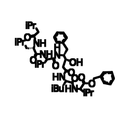 CC[C@H](C)[C@H](NC(=O)C[C@H](O)[C@H](Cc1ccccc1)NC(=O)C(NC(=O)[C@H](CC(C)C)NC(=O)CC(C)C)C(C)C)C(=O)NC(C(=O)OCc1ccccc1)C(C)C